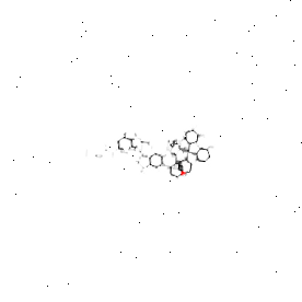 CCc1nc2c(C)cc(CCO)nc2n1[C@H]1CCc2cc(-c3ccccc3-c3nnnn3C(c3ccccc3)(c3ccccc3)c3ccccc3)ccc21